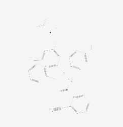 N#Cc1ccccc1C(=O)N[C@](Cc1ccccc1)(c1ccc(F)cc1)c1cc(F)cc(OC(F)(F)C(F)F)c1